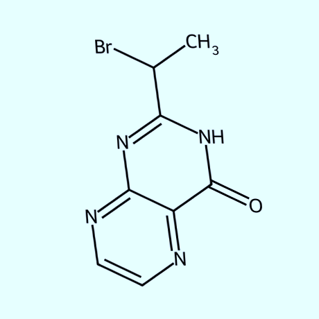 CC(Br)c1nc2nccnc2c(=O)[nH]1